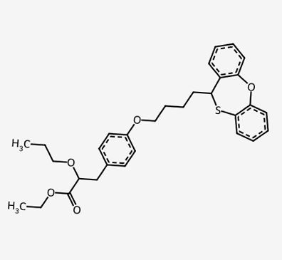 CCCOC(Cc1ccc(OCCCCC2Sc3ccccc3Oc3ccccc32)cc1)C(=O)OCC